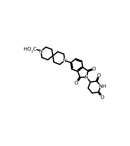 O=C1CCC(N2C(=O)c3ccc(N4CCC5(CCN(C(=O)O)CC5)CC4)cc3C2=O)C(=O)N1